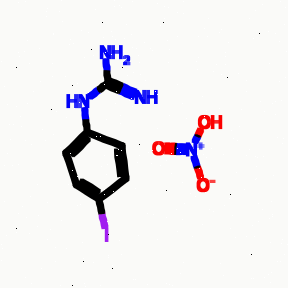 N=C(N)Nc1ccc(I)cc1.O=[N+]([O-])O